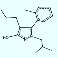 CCCc1c(O)nn(CC(C)C)c1-c1ccccc1C